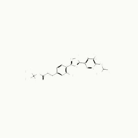 Cc1cc(CCC(=O)OC(C)(C)C)ccc1-c1noc(-c2cnc(NC(C)C)c(Cl)c2)n1